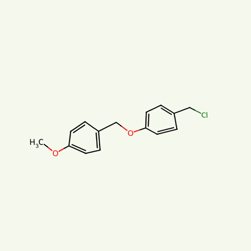 COc1ccc(COc2ccc(CCl)cc2)cc1